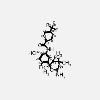 CC1(C)N=C(N)O[C@](C)(c2cc(NC(=O)c3cnc(C(F)(F)F)cn3)ccc2F)C1(F)F.Cl